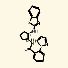 O=C(N[C@H]1CCC[C@H]1Nc1nc2ccccc2s1)c1ccccc1-n1nccn1